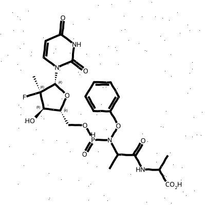 CC(NC(=O)C(C)N(Oc1ccccc1)[PH](=O)OC[C@H]1O[C@@H](n2ccc(=O)[nH]c2=O)[C@](C)(F)[C@@H]1O)C(=O)O